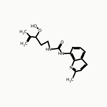 C=C(C)C(CCNC(=O)Nc1cccc2ccc(C)nc12)OO